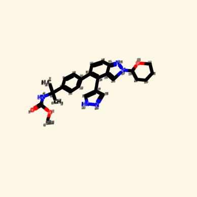 CC(C)(C)OC(=O)NC(C)(C)c1ccc(-c2ccc3nn(C4CCCCO4)cc3c2-c2cn[nH]c2)cc1